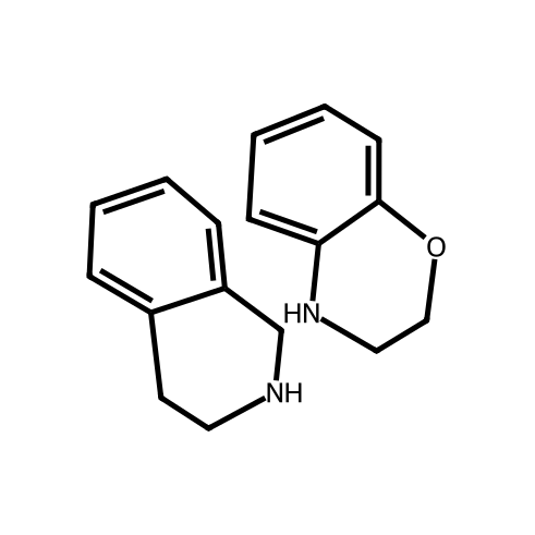 c1ccc2c(c1)CCNC2.c1ccc2c(c1)NCCO2